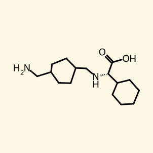 NCC1CCC(CN[C@H](C(=O)O)C2CCCCC2)CC1